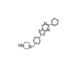 [c]1nc(-c2ccccc2)nc2cc(-c3ccc(CN4CCNCC4)cc3)sc12